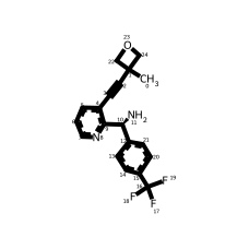 CC1(C#Cc2cccnc2[C@@H](N)c2ccc(C(F)(F)F)cc2)COC1